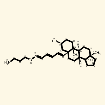 C[C@@]12CCC[C@H]1[C@@H]1CC[C@]3(C=CC=CC=NOCCCN)C[C@@H](O)CC[C@]3(C)[C@H]1CC2